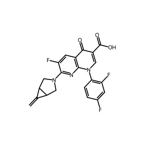 C=C1C2CN(c3nc4c(cc3F)c(=O)c(C(=O)O)cn4-c3ccc(F)cc3F)CC12